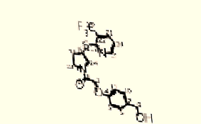 O=C(COc1ccc(CO)cc1)N1CC[C@H](Sc2ncccc2C(F)(F)F)C1